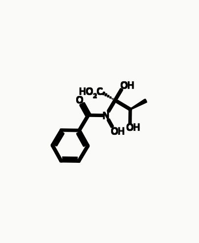 C[C@@H](O)[C@@](O)(C(=O)O)N(O)C(=O)c1ccccc1